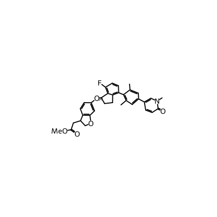 COC(=O)CC1COc2cc(O[C@@H]3CCc4c(-c5c(C)cc(-c6ccc(=O)n(C)c6)cc5C)ccc(F)c43)ccc21